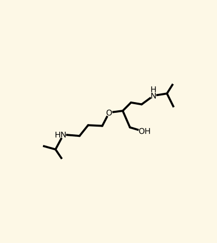 CC(C)NCCCOC(CO)CCNC(C)C